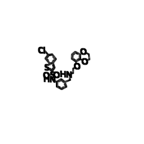 O=S(=O)(Nc1cccc(CNCCOc2cccc3c2OCCO3)c1)c1cc2ccc(Cl)cc2s1